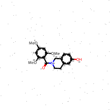 COc1cc(OC)c(C(=O)N2CCc3cc(O)ccc3C2)c(OC)c1